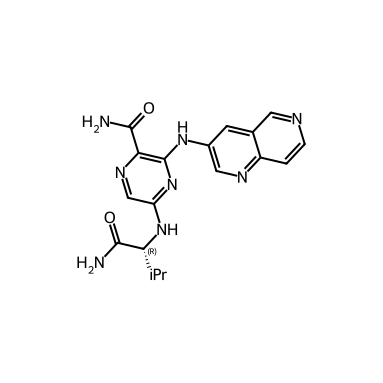 CC(C)[C@@H](Nc1cnc(C(N)=O)c(Nc2cnc3ccncc3c2)n1)C(N)=O